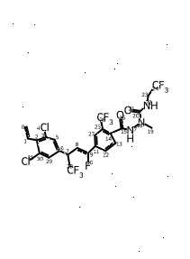 C=Cc1c(Cl)cc(C(/C=C(\F)c2ccc(C(=O)NN(C)C(=O)NCC(F)(F)F)c(C(F)(F)F)c2)C(F)(F)F)cc1Cl